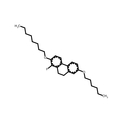 CCCCCCCCOc1ccc2c(c1F)CCc1cc(OCCCCCC)ccc1-2